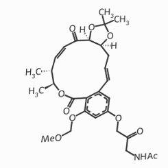 COCOc1cc(OCC(=O)CNC(C)=O)cc2c1C(=O)O[C@@H](C)[C@H](C)/C=C\C(=O)[C@H]1OC(C)(C)O[C@H]1C/C=C/2